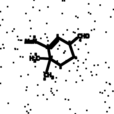 CNC1=CC(C=O)CCC1(C)C